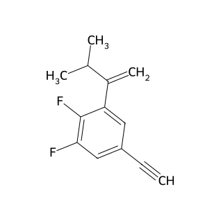 C#Cc1cc(F)c(F)c(C(=C)C(C)C)c1